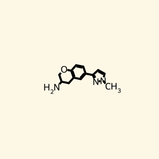 Cn1ccc(-c2ccc3c(c2)CC(N)CO3)n1